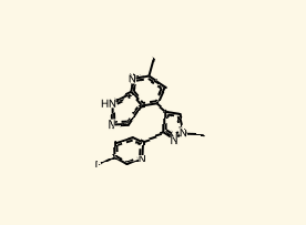 Cc1cc(-c2cn(C)nc2-c2ccc(F)cn2)c2cn[nH]c2n1